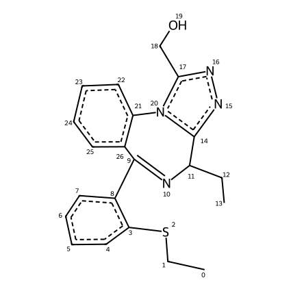 CCSc1ccccc1C1=NC(CC)c2nnc(CO)n2-c2ccccc21